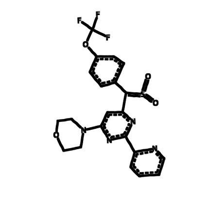 O=S(=O)=C(c1ccc(OC(F)(F)F)cc1)c1cc(N2CCOCC2)nc(-c2ccccn2)n1